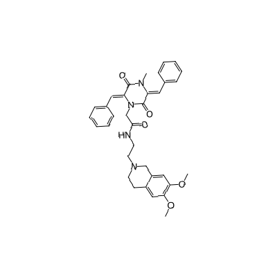 COc1cc2c(cc1OC)CN(CCNC(=O)Cn1c(=O)/c(=C/c3ccccc3)n(C)c(=O)/c1=C/c1ccccc1)CC2